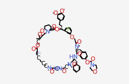 COc1ccc(CC[C@H]2OC(=O)[C@@H]3CCCCN3C(=O)C(=O)C(C)(C)COC(=O)/C=C/CCCCN(C)C(=O)CNC(=O)CN(C)C(=O)[C@@H](Cc3ccccc3)NC(=O)[C@H](Cc3ccc(OC(=O)N4CCOCC4)cc3)N(C)C(=O)COc3cccc2c3F)cc1OC